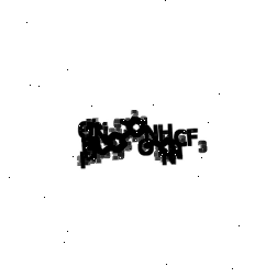 Cc1ccc(NC(=O)c2cnnc(C(F)(F)F)c2)cc1-c1ccc2c(c1)N1CCOC[C@H]1[C@](F)(CF)C2